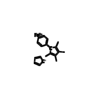 Cc1c(C)c(C)[c-](-c2ccccc2)c1C.[Fe+2].c1cc[cH-]c1